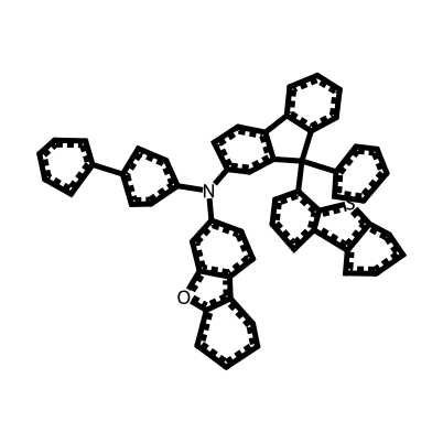 c1ccc(-c2ccc(N(c3ccc4c(c3)C(c3ccccc3)(c3cccc5c3sc3ccccc35)c3ccccc3-4)c3ccc4c(c3)oc3ccccc34)cc2)cc1